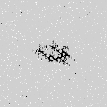 CCc1cc(CC)c(OC(C)C)c(/C=C/C(=O)c2ccc(OCOC(=O)C(C)(C)C)cc2)c1OCOC(=O)C(C)(C)C